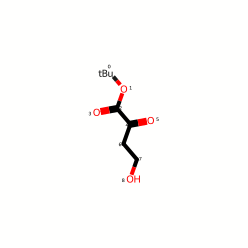 CC(C)(C)OC(=O)C(=O)CCO